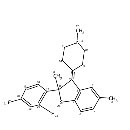 Cc1ccc2c(c1)C(=C1CCN(C)CC1)C(C)(c1ccc(F)cc1F)S2